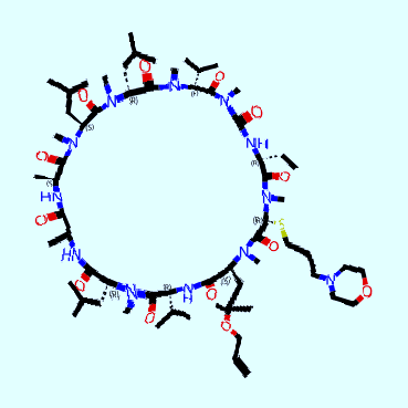 C=CCOC(C)(C)C[C@H]1C(=O)N[C@H](C(C)C)C(=O)N(C)[C@H](CC(C)C)C(=O)NC(C)C(=O)N[C@@H](C)C(=O)N(C)[C@@H](CC(C)C)C(=O)N(C)[C@H](CC(C)C)C(=O)N(C)[C@H](C(C)C)C(=O)N(C)C(=O)N[C@H](CC)C(=O)N(C)[C@H](SCCCN2CCOCC2)C(=O)N1C